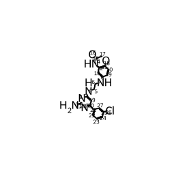 Nc1nc(NCCNc2ccc3c(c2)NC(=O)CO3)cc(-c2cccc(Cl)c2)n1